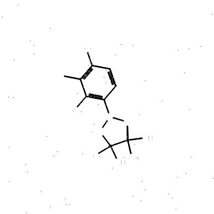 Cc1ccc(B2OC(C)(C)C(C)(C)O2)c(F)c1Cl